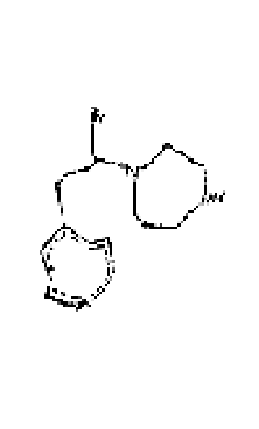 C[C](C)C(Cc1ccncc1)N1CCNCC1